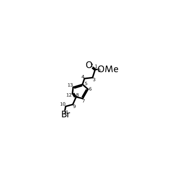 COC(=O)CCc1ccc(CCBr)cc1